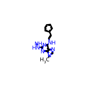 Cn1cnc2c(NC=Cc3ccccc3)nc(NN)nc21